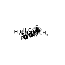 CNSc1cc(N2CCN(c3ncc(C(C)=O)c(C(F)(F)F)n3)C(C(C)C)C2)ccc1F